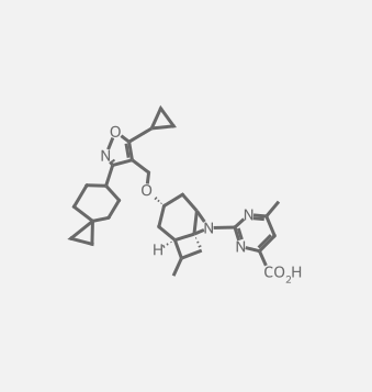 Cc1cc(C(=O)O)nc(N2C3C[C@@H](OCc4c(C5CCC6(CC5)CC6)noc4C4CC4)C[C@@H]4C(C)C[C@@]342)n1